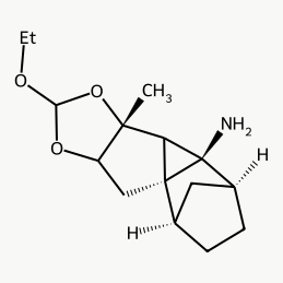 CCOC1OC2C[C@]34C([C@@]2(C)O1)[C@]3(N)[C@H]1CC[C@@H]4C1